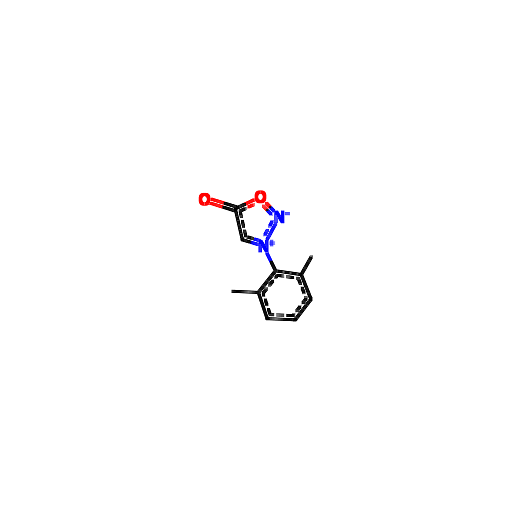 Cc1cccc(C)c1-[n+]1cc(=O)o[n-]1